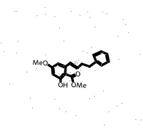 COC(=O)c1c(O)cc(OC)cc1/C=C/CCc1ccccc1